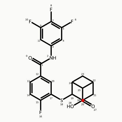 O=C(Nc1cc(F)c(F)c(F)c1)c1ccc(F)c(SC2CCC3CC2C3C(=O)O)c1